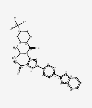 CC(C)N(c1cc(-c2ccc(-c3cn4ccccc4n3)cc2)sc1C(=O)O)C(=O)[C@H]1CC[C@H](C(F)(F)F)CC1